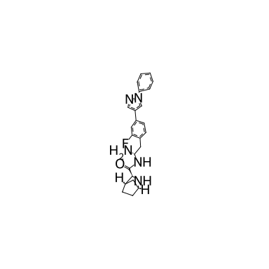 N[C@H](Cc1ccc(-c2cnn(-c3ccccc3)c2)cc1F)NC(=O)[C@H]1N[C@@H]2CC[C@H]1C2